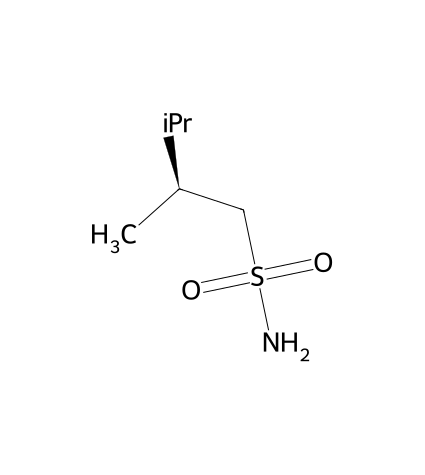 CC(C)[C@H](C)CS(N)(=O)=O